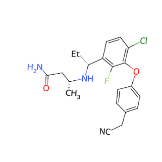 CC[C@@H](N[C@H](C)CC(N)=O)c1ccc(Cl)c(Oc2ccc(CC#N)cc2)c1F